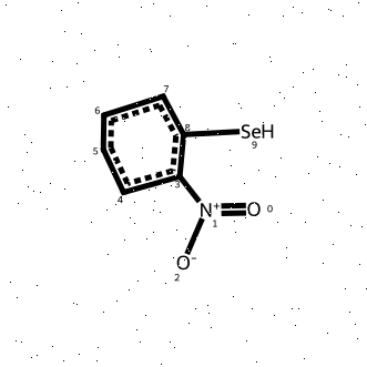 O=[N+]([O-])c1ccccc1[SeH]